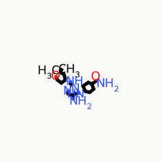 CC1(C)CC(Nc2ncc(N)c(NC3CCC(C(N)=O)CC3)n2)CCO1